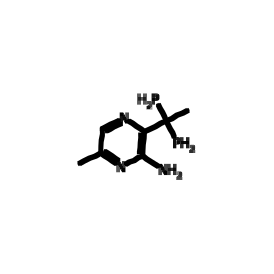 Cc1cnc(C(C)(P)P)c(N)n1